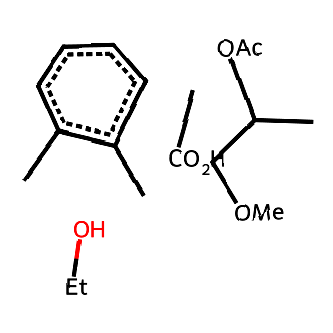 CC(=O)O.CCO.COCC(C)OC(C)=O.Cc1ccccc1C